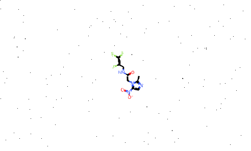 Cc1ncc([N+](=O)[O-])n1CC(=O)NCC(F)=C(F)F